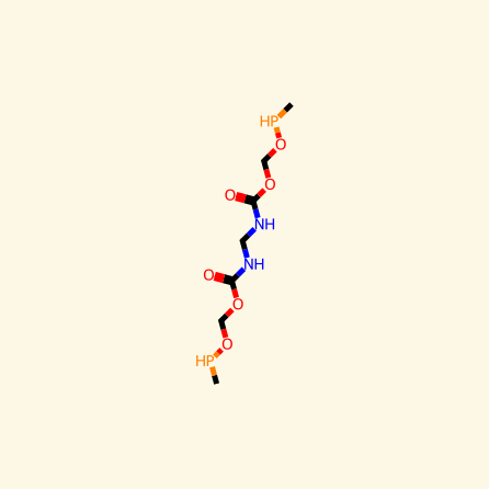 CPOCOC(=O)NCNC(=O)OCOPC